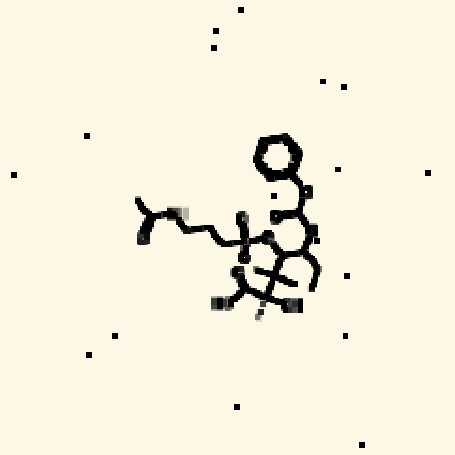 CCC(OC(=O)Oc1ccccc1)C(OS(=O)(=O)CCCNC(C)=O)C(C)(C)[C@@](C)(O)C(=O)O